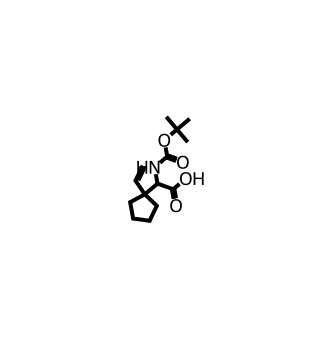 C=CC1(C(NC(=O)OC(C)(C)C)C(=O)O)CCCC1